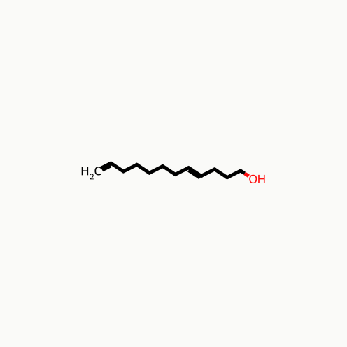 C=CCCCCC/C=C/CCCO